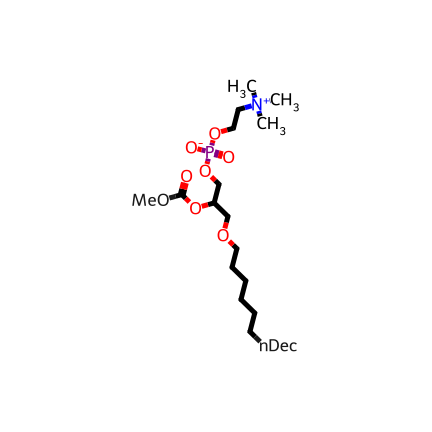 CCCCCCCCCCCCCCCCOCC(COP(=O)([O-])OCC[N+](C)(C)C)OC(=O)OC